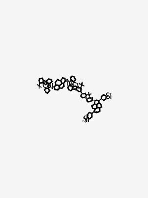 CC(C)(C)c1cccc2c1oc1c(N(c3ccccc3)c3ccc4ccc5c(N(c6ccccc6)c6cccc7c6oc6c(C(C)(C)C)cc(-c8ccc9c(c8)C(C)(C)c8cc(-c%10cc(-c%11ccc([Si](C)(C)C)cc%11)c%11ccc%12ccc(-c%13ccc([Si](C)(C)C)cc%13)c%13ccc%10c%11c%12%13)ccc8-9)cc67)ccc6ccc3c4c65)cccc12